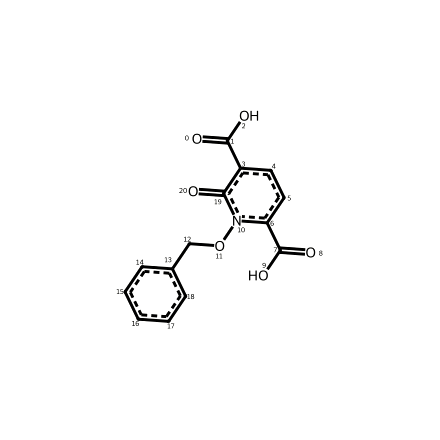 O=C(O)c1ccc(C(=O)O)n(OCc2ccccc2)c1=O